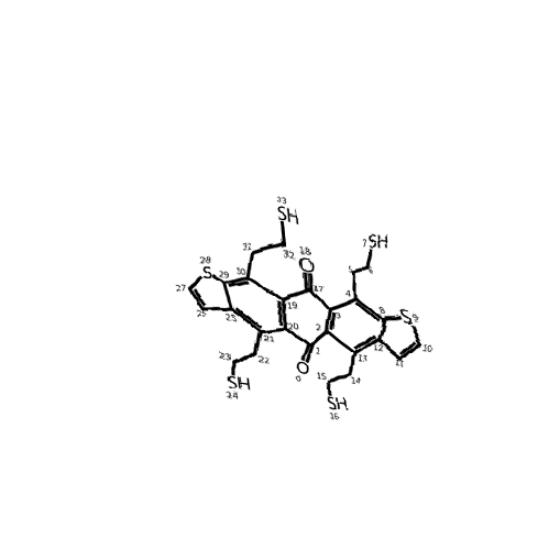 O=C1c2c(c(CCS)c3sccc3c2CCS)C(=O)c2c1c(CCS)c1ccsc1c2CCS